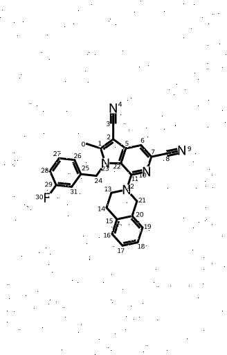 Cc1c(C#N)c2cc(C#N)nc(N3CCc4ccccc4C3)c2n1Cc1cccc(F)c1